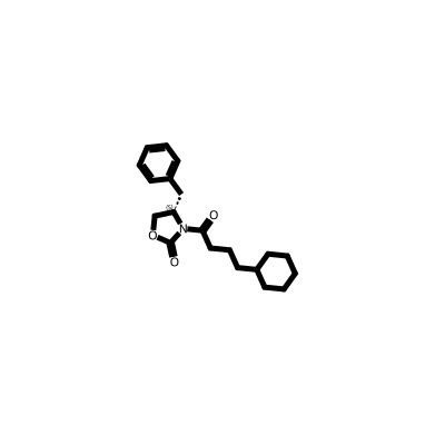 O=C(CCCC1CCCCC1)N1C(=O)OC[C@@H]1Cc1ccccc1